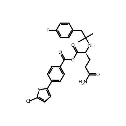 CC(C)(Cc1ccc(F)cc1)N[C@@H](CCC(N)=O)C(=O)OC(=O)c1ccc(-c2ccc(Cl)s2)cc1